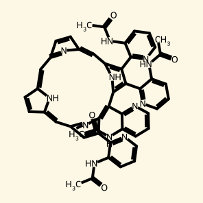 CC(=O)Nc1cccnc1C1=Cc2cc3ccc(cc4nc(cc5[nH]c(c(-c6ncccc6NC(C)=O)c1n2)c(-c1ncccc1NC(C)=O)c5-c1ncccc1NC(C)=O)C=C4)[nH]3